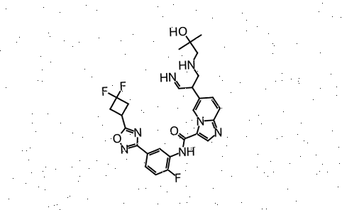 CC(C)(O)CNCC(C=N)c1ccc2ncc(C(=O)Nc3cc(-c4noc(C5CC(F)(F)C5)n4)ccc3F)n2c1